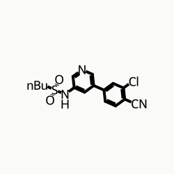 CCCCS(=O)(=O)Nc1cncc(-c2ccc(C#N)c(Cl)c2)c1